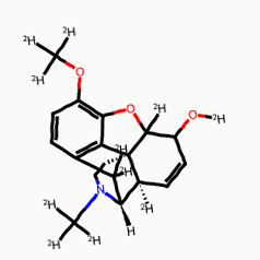 [2H]OC1C=C[C@@]2([2H])[C@@H]3N(C([2H])([2H])[2H])CC[C@@]24c2c(ccc(OC([2H])([2H])[2H])c2OC14[2H])C3([2H])[2H]